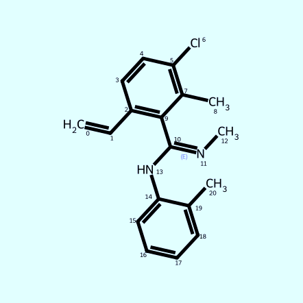 C=Cc1ccc(Cl)c(C)c1/C(=N\C)Nc1ccccc1C